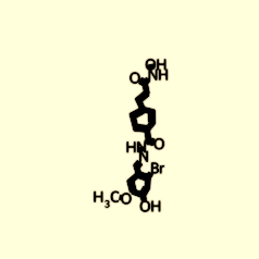 COc1cc(/C=N/NC(=O)c2ccc(/C=C/C(=O)NO)cc2)c(Br)cc1O